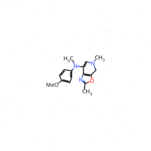 COc1ccc(N(C)C2=CN(C)Cc3oc(C)nc32)cc1